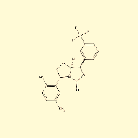 Cc1ccc(Br)c([C@@H]2CC[C@H]3[C@@H](c4cccc(C(F)(F)F)c4)OC(=O)N23)c1